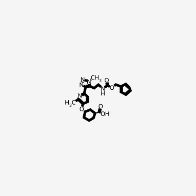 Cc1nc(-c2nnn(C)c2CCNC(=O)OCc2ccccc2)ccc1O[C@H]1CCC[C@H](C(=O)O)C1